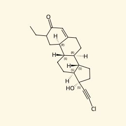 CCC1C[C@H]2C(=CC1=O)CC[C@@H]1[C@@H]2CC[C@H]2[C@H]1CC[C@@]2(O)C#CCl